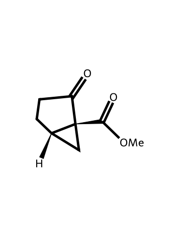 COC(=O)[C@@]12C[C@@H]1CCC2=O